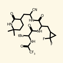 CC1(C)CCC(CC(C#N)NC(=O)C(CC2CC2(F)F)NC(=O)C(NC(=O)C(F)(F)F)C(C)(C)C)C(=O)N1